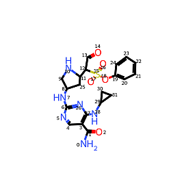 NC(=O)c1cnc(NC2CNC(C(C=O)S(=O)(=O)Oc3ccccc3)C2)nc1NC1CC1